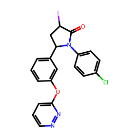 O=C1C(I)CC(c2cccc(Oc3cccnn3)c2)N1c1ccc(Cl)cc1